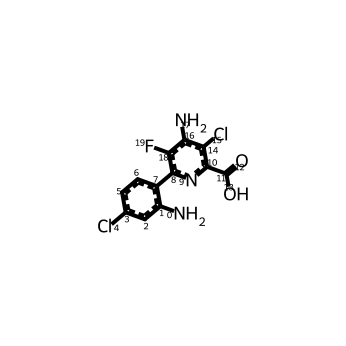 Nc1cc(Cl)ccc1-c1nc(C(=O)O)c(Cl)c(N)c1F